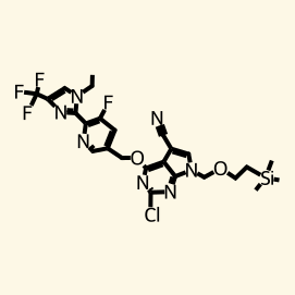 CCn1cc(C(F)(F)F)nc1-c1ncc(COc2nc(Cl)nc3c2c(C#N)cn3COCC[Si](C)(C)C)cc1F